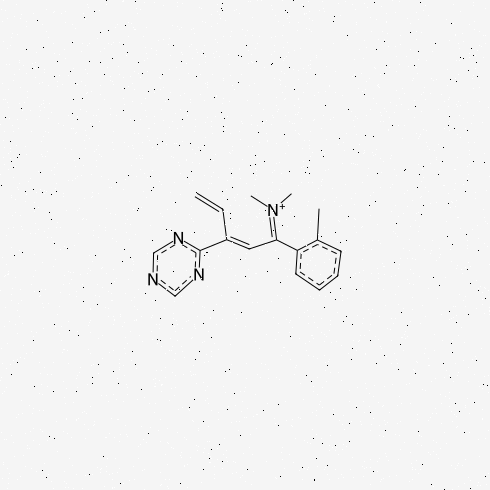 C=C/C(=C\C(c1ccccc1C)=[N+](C)C)c1ncncn1